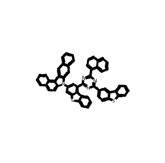 c1ccc2cc3c(cc2c1)c1c2ccccc2ccc1n3-c1cc(-c2nc(-c3ccc4sc5ccccc5c4c3)nc(-c3cccc4ccccc34)n2)c2c(c1)sc1ccccc12